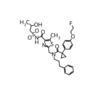 Cc1sc(CN(CCCc2ccccc2)C(=O)C2(c3ccc(OCCF)cc3)CC2)nc1C(=O)NS(=O)(=O)CC(C)O